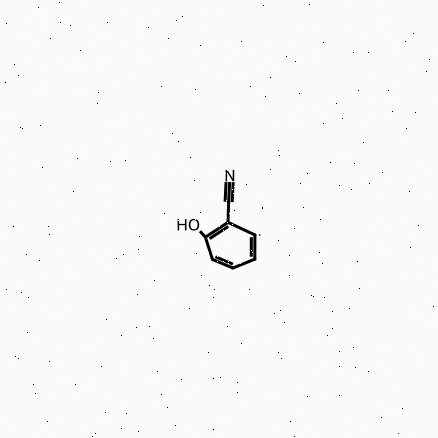 N#Cc1[c]cccc1O